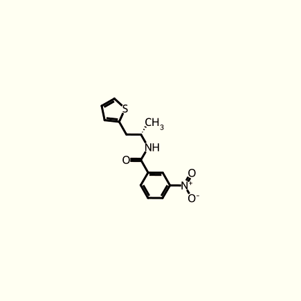 C[C@@H](Cc1cccs1)NC(=O)c1cccc([N+](=O)[O-])c1